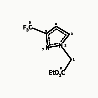 CCOC(=O)Cn1ccc(C(F)(F)F)n1